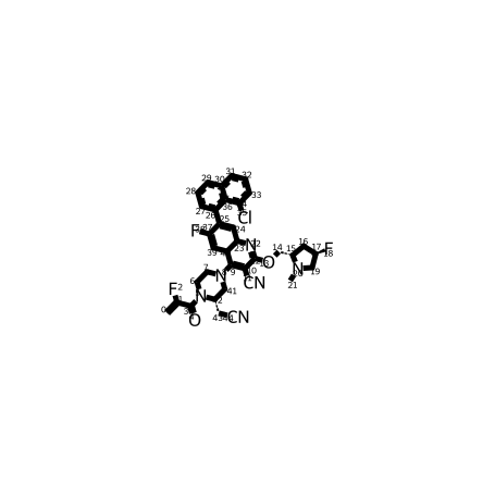 C=C(F)C(=O)N1CCN(C2=C(C#N)C(OC[C@@H]3C[C@@H](F)CN3C)=NC3C=C(c4cccc5cccc(Cl)c45)C(F)=CC23)C[C@@H]1CC#N